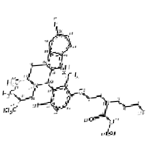 Cc1c(OCCN(CCCF)C(=O)OC(C)(C)C)ccc(F)c1[C@@H]1c2[nH]c3ccc(F)cc3c2C[C@@H](C)N1C[C@@H](C)C(=O)O